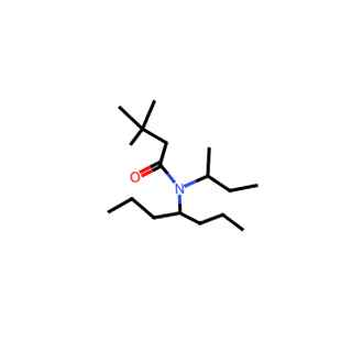 CCCC(CCC)N(C(=O)CC(C)(C)C)C(C)CC